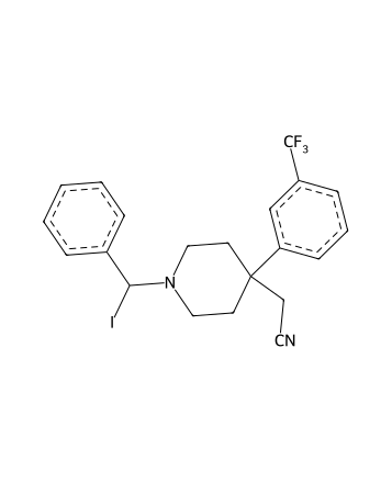 N#CCC1(c2cccc(C(F)(F)F)c2)CCN(C(I)c2ccccc2)CC1